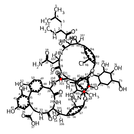 CN[C@H](CC(C)C)C(=O)N[C@H]1C(=O)N[C@@H](CC(N)=O)C(=O)N[C@H]2C(=O)N[C@H]3C(=O)N[C@H](C(=O)N[C@H](C(=O)O)c4cc(O)cc(O)c4-c4cc3ccc4O)[C@H](O)c3ccc(c(Cl)c3)Oc3cc2cc(c3OC2CC(CO)C(O)C(O)C2OC2CC(C)C(O)C(C)(N)C2)Oc2ccc(cc2Cl)[C@H]1O